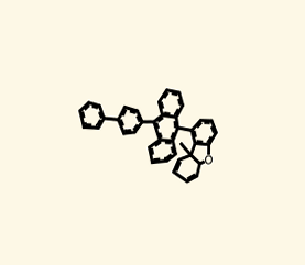 CC12C=CC=CC1Oc1cccc(-c3c4ccccc4c(-c4ccc(-c5ccccc5)cc4)c4ccccc34)c12